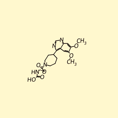 COc1cc2ncnc(C3CCCN(S(=O)(=O)NC(=O)O)CC3)c2cc1OC